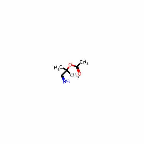 CC(=O)OC(C)(C)C=N